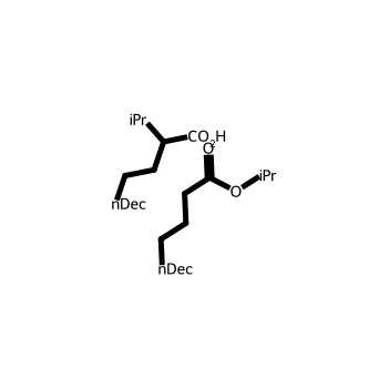 CCCCCCCCCCCCC(C(=O)O)C(C)C.CCCCCCCCCCCCCC(=O)OC(C)C